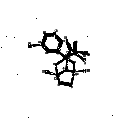 C=C(Cl)CN1[C@@H]2C=C[C@@H]1CC(C(N)=S)(c1cncc(Br)c1)C2